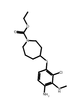 CCOC(=O)N1CCCC(Sc2ccc(N)c(NC)c2Cl)CC1